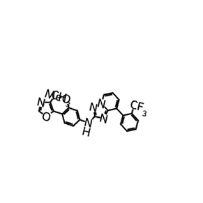 COc1cc(Nc2nc3c(-c4ccccc4C(F)(F)F)cccn3n2)ccc1-c1ocnc1C